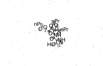 CCCC(=O)OC[C@H]1OC(NC(=O)c2[nH]ncc2O)[C@H](OC(=O)CCC)[C@@H]1OC(=O)CCC